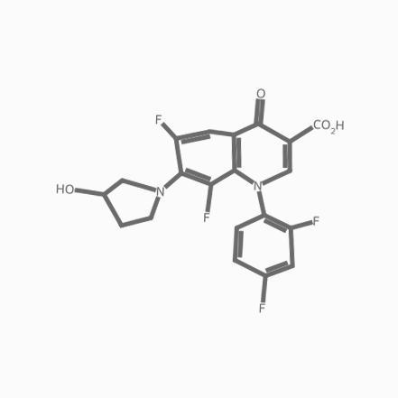 O=C(O)c1cn(-c2ccc(F)cc2F)c2c(F)c(N3CCC(O)C3)c(F)cc2c1=O